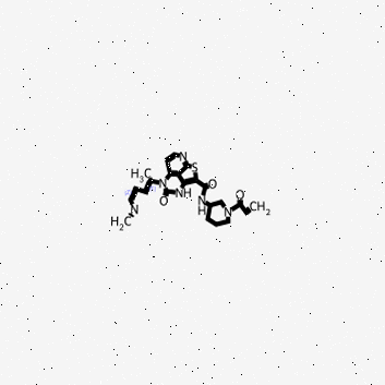 C=CC(=O)N1CCCC(NC(=O)c2sc3nccc4c3c2NC(=O)N4/C(C)=C/C=C\N=C)C1